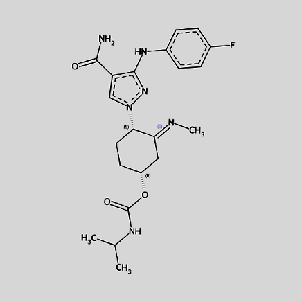 C/N=C1\C[C@H](OC(=O)NC(C)C)CC[C@@H]1n1cc(C(N)=O)c(Nc2ccc(F)cc2)n1